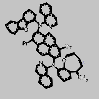 C=C1/C=C\C=COc2c1cccc2N(c1nccc2ccccc12)c1cc(C(C)C)c2ccc3c(N(c4nccc5ccccc45)c4cccc5c4oc4ccccc45)cc(C(C)C)c4ccc1c2c43